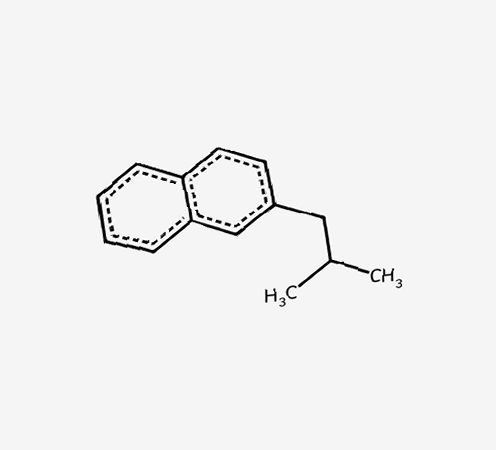 CC(C)Cc1ccc2ccccc2c1